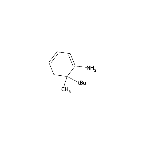 CC(C)(C)C1(C)CC=CC=C1N